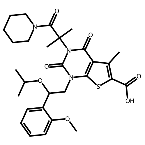 COc1ccccc1C(Cn1c(=O)n(C(C)(C)C(=O)N2CCCCC2)c(=O)c2c(C)c(C(=O)O)sc21)OC(C)C